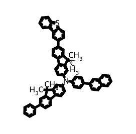 CC1(C)c2cc(-c3ccccc3)ccc2-c2ccc(N(c3ccc(-c4ccc5ccccc5c4)cc3)c3ccc4c(c3)C(C)(C)c3cc(-c5ccc6sc7ccccc7c6c5)ccc3-4)cc21